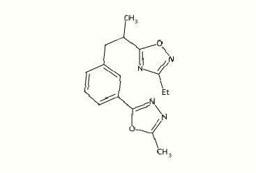 CCc1noc(C(C)Cc2cccc(-c3nnc(C)o3)c2)n1